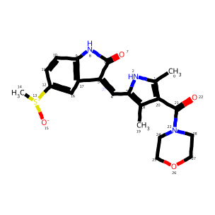 Cc1[nH]c(/C=C2\C(=O)Nc3ccc([S+](C)[O-])cc32)c(C)c1C(=O)N1CCOCC1